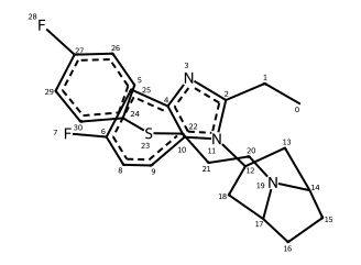 CCc1nc2cc(F)ccc2n1C1CC2CCC(C1)N2CCCSc1ccc(F)cc1